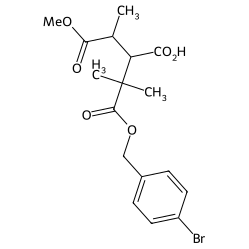 COC(=O)C(C)C(C(=O)O)C(C)(C)C(=O)OCc1ccc(Br)cc1